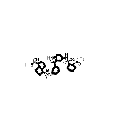 CN(C)c1cccc2c(S(=O)(=O)Nc3cccc(-c4n[nH]c5ccc(NS(=O)(=O)c6ccccc6S(C)(=O)=O)cc45)c3)cccc12